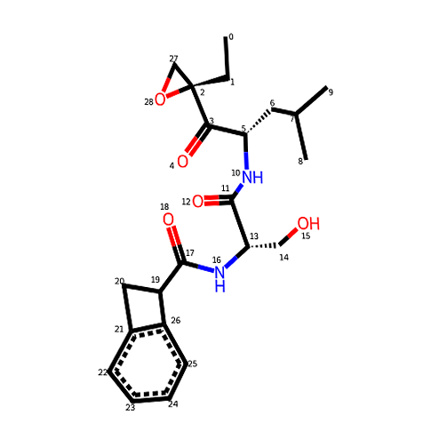 CC[C@]1(C(=O)[C@H](CC(C)C)NC(=O)[C@H](CO)NC(=O)C2Cc3ccccc32)CO1